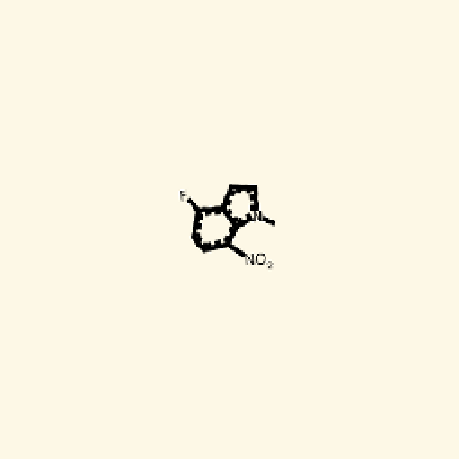 Cn1ccc2c(F)ccc([N+](=O)[O-])c21